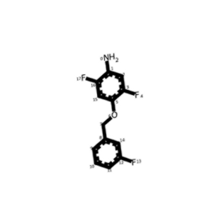 Nc1cc(F)c(OCc2cccc(F)c2)cc1F